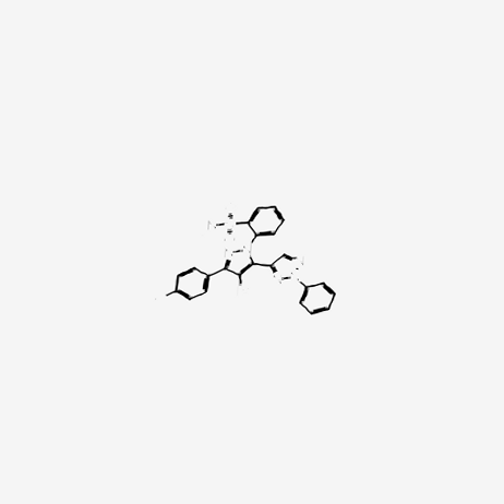 Cc1ccc(-c2nn(-c3ccccc3S(N)(=O)=O)c(-c3cnn(-c4ccccc4)n3)c2Br)cc1